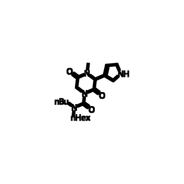 CCCCCCN(CCCC)C(=O)N1CC(=O)N(C)C(C2=CCNC2)C1=O